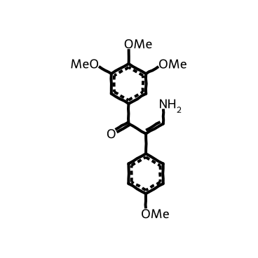 COc1ccc(C(=CN)C(=O)c2cc(OC)c(OC)c(OC)c2)cc1